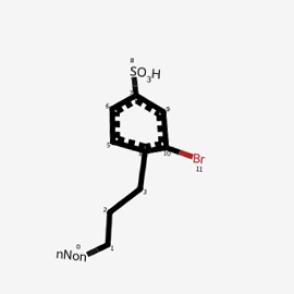 CCCCCCCCCCCCc1ccc(S(=O)(=O)O)cc1Br